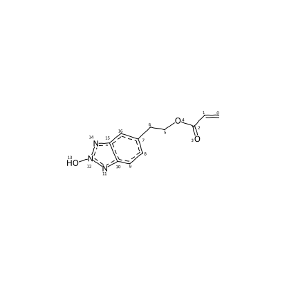 C=CC(=O)OCCc1ccc2nn(O)nc2c1